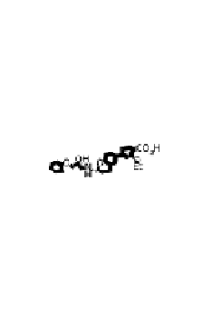 CCOc1cc(-c2ccc3c(c2)CC[C@H](CNC[C@H](O)COc2ccccc2)O3)ccc1C(=O)O